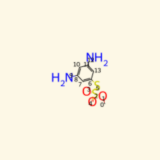 COS(=O)(=O)Sc1cc(N)cc(N)c1